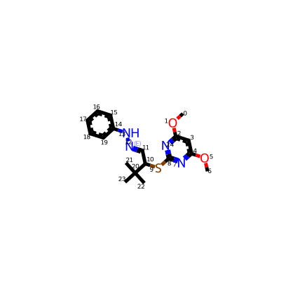 COc1cc(OC)nc(SC(/C=N/Nc2ccccc2)C(C)(C)C)n1